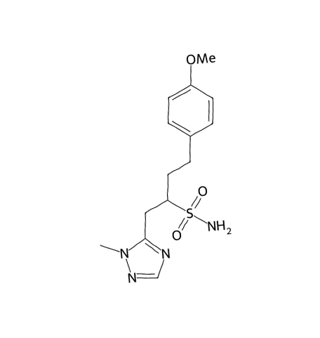 COc1ccc(CCC(Cc2ncnn2C)S(N)(=O)=O)cc1